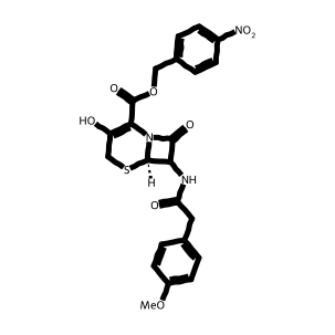 COc1ccc(CC(=O)NC2C(=O)N3C(C(=O)OCc4ccc([N+](=O)[O-])cc4)=C(O)CS[C@H]23)cc1